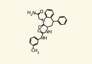 Cc1cccc(NC(=O)NC2CC(c3ccccc3)c3ccccc3N(CC(N)=O)C2=O)c1